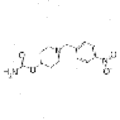 NC(=O)OC1CCN(Cc2ccc([N+](=O)[O-])cc2)CC1